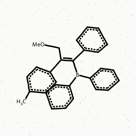 COC/C(=C(/B(c1ccccc1)c1ccccc1)c1ccccc1)c1ccc(C)cc1